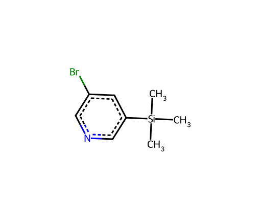 C[Si](C)(C)c1cncc(Br)c1